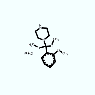 COc1ccccc1C(OC)(OC)N1CCNCC1.Cl.Cl